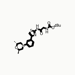 C[C@@H]1CN(c2cccc(-c3csc(NC(=O)CNC(=O)OC(C)(C)C)n3)c2)C[C@@H](C)O1